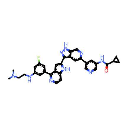 CN(C)CCNc1cc(F)cc(-c2nccc3[nH]c(-c4n[nH]c5cnc(-c6cncc(NC(=O)C7CC7)c6)cc45)cc23)c1